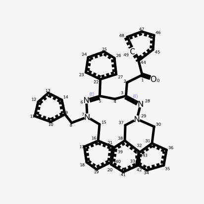 O=C(C/C(C/C(=N\N(Cc1ccccc1)Cc1ccccc1)c1ccccc1)=N/N(Cc1ccccc1)Cc1ccccc1)c1ccccc1